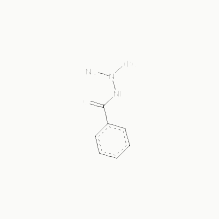 CC(C)(C)N(C#N)NC(=O)c1ccccc1